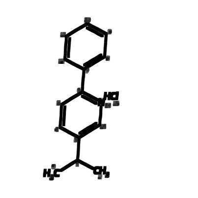 CC(C)c1ccc(-c2ccccc2)nc1.Cl